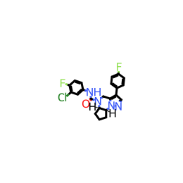 O=C(Nc1ccc(F)c(Cl)c1)N1Cc2c(-c3ccc(F)cc3)cnn2[C@H]2CCC[C@H]21